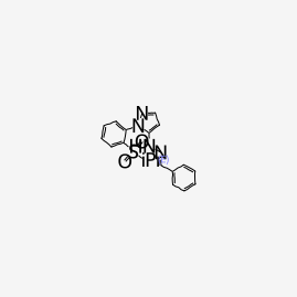 CC(C)S(=O)(=O)c1ccccc1-n1nccc1N/N=C/c1ccccc1